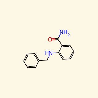 NC(=O)c1ccccc1NCc1ccccc1